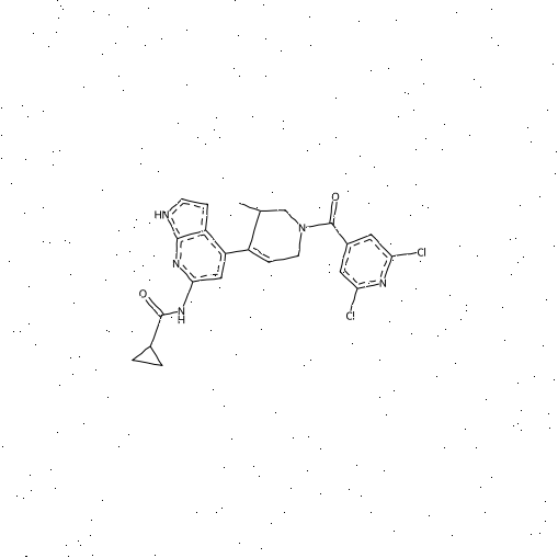 CC1CN(C(=O)c2cc(Cl)nc(Cl)c2)CC=C1c1cc(NC(=O)C2CC2)nc2[nH]ccc12